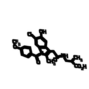 Cc1c(CC(=O)NCC(C)C(=O)O)c2cc(O)c(Cl)cc2n1C(=O)c1ccc(OC(F)(F)F)cc1